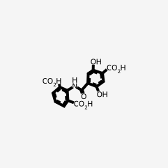 O=C(O)c1cc(O)c(C(=O)Nc2c(C(=O)O)cccc2C(=O)O)cc1O